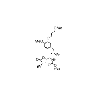 COCCCOc1cc(C[C@H](C[C@H](NC(=O)OC(C)(C)C)[C@@H]2C[C@@H](C(C)C)C(=O)O2)C(C)C)ccc1OC